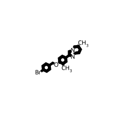 Cc1ccc2nc(-c3ccc(OCc4ccc(Br)cc4)c(C)c3)cn2c1